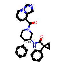 O=C(c1cccn2cncc12)N1CC[C@@H](c2ccccc2)[C@H](NC(=O)C2(c3ccccc3)CC2)C1